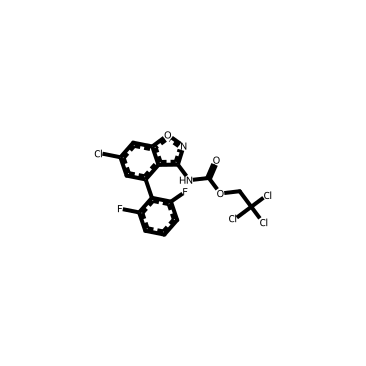 O=C(Nc1noc2cc(Cl)cc(-c3c(F)cccc3F)c12)OCC(Cl)(Cl)Cl